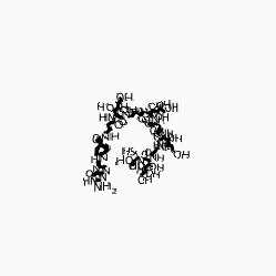 Nc1nc2ncc(CNc3ccc(C(=O)NCCCC(=O)N[C@H](C(=O)NCCC(=O)NC(C(=O)N[C@@H](CC(=O)N[C@H](C(=O)NCCC(=O)NC(C(=O)N[C@@H](CS)C(=O)O)[C@@H](O)[C@H](O)[C@H](O)CO)[C@@H](O)[C@H](O)CCO)C(=O)O)[C@@H](O)[C@H](O)[C@H](O)CO)[C@@H](O)[C@H](O)CCO)cc3)nc2c(=O)[nH]1